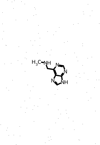 CNCc1ncnc2[nH]cnc12